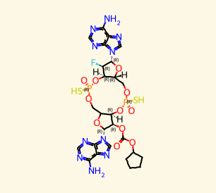 Nc1ncnc2c1ncn2[C@@H]1O[C@@H]2CO[P@@](=O)(S)O[C@@H]3C(CO[P@@](=O)(S)O[C@H]2[C@H]1F)O[C@@H](n1cnc2c(N)ncnc21)[C@@H]3OC(=O)OC1CCCC1